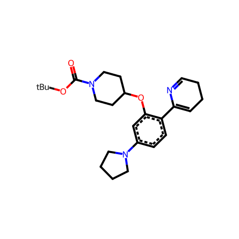 CC(C)(C)OC(=O)N1CCC(Oc2cc(N3CCCC3)ccc2C2=CCCC=N2)CC1